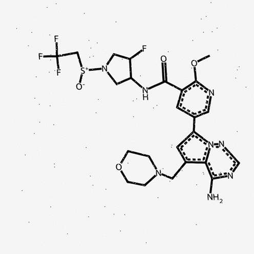 COc1ncc(-c2cc(CN3CCOCC3)c3c(N)ncnn23)cc1C(=O)NC1CN([S+]([O-])CC(F)(F)F)CC1F